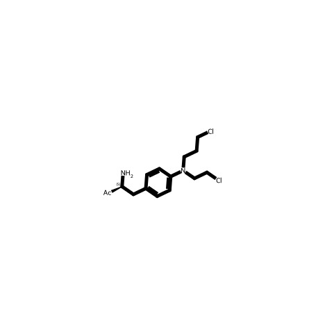 CC(=O)[C@@H](N)Cc1ccc(N(CCCl)CCCCl)cc1